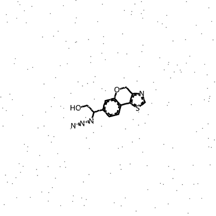 [N-]=[N+]=NC(CO)c1ccc2c(c1)OCc1ncsc1-2